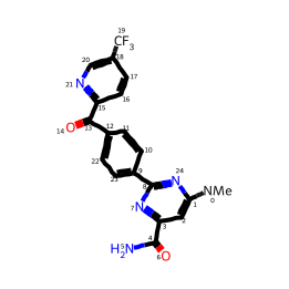 CNc1cc(C(N)=O)nc(-c2ccc(C(=O)c3ccc(C(F)(F)F)cn3)cc2)n1